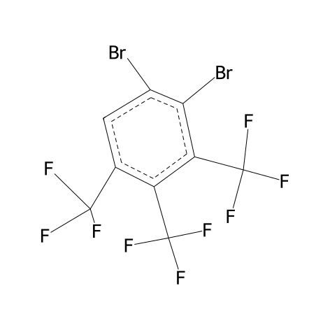 FC(F)(F)c1cc(Br)c(Br)c(C(F)(F)F)c1C(F)(F)F